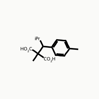 Cc1ccc(C(C(C)C)C(C)(C(=O)O)C(=O)O)cc1